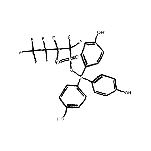 O=S(=O)(OS(c1ccc(O)cc1)(c1ccc(O)cc1)c1ccc(O)cc1)C(F)(F)C(F)(F)C(F)(F)C(F)(F)F